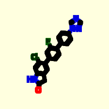 O=C1Cc2cc(-c3ccc(-c4ccc(-n5cncn5)cc4)c(F)c3)c(Cl)cc2N1